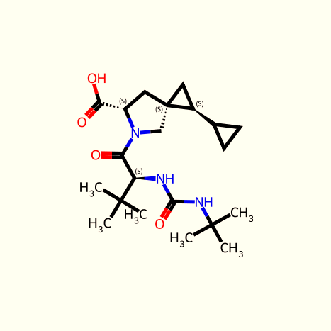 CC(C)(C)NC(=O)N[C@H](C(=O)N1C[C@]2(C[C@H]1C(=O)O)C[C@H]2C1CC1)C(C)(C)C